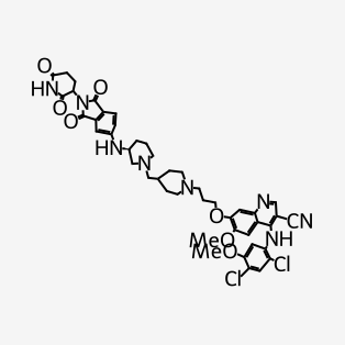 COc1cc(Nc2c(C#N)cnc3cc(OCCCN4CCC(CN5CCC[C@H](Nc6ccc7c(c6)C(=O)N(C6CCC(=O)NC6=O)C7=O)C5)CC4)c(OC)cc23)c(Cl)cc1Cl